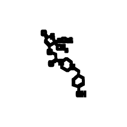 CCCCCCCCC1(C)SC(=O)C=C1OCC(=O)N1CCN(CC2C=CC(O)=CC2)CC1